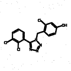 Oc1ccc(Cn2nnnc2-c2cccc(Cl)c2Cl)c(Cl)c1